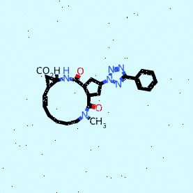 CN1CCCCC=CC2CC2(C(=O)O)NC(=O)C2CC(n3nnc(-c4ccccc4)n3)CC2C1=O